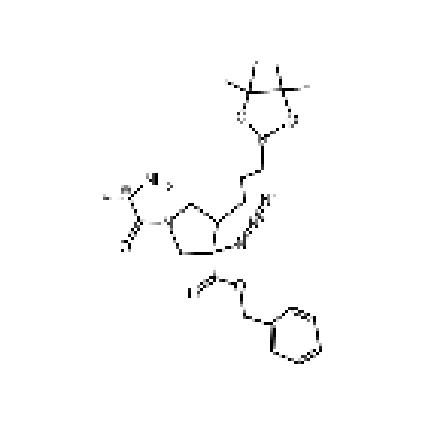 C[C@H](N)C(=O)N1CC(CCCB2OC(C)(C)C(C)(C)O2)C(N=[N+]=[N-])(C(=O)OCc2ccccc2)C1